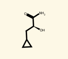 NC(=O)[C@@H](O)[CH]C1CC1